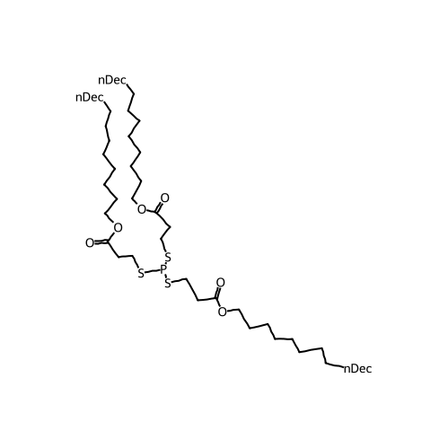 CCCCCCCCCCCCCCCCCCOC(=O)CCSP(SCCC(=O)OCCCCCCCCCCCCCCCCCC)SCCC(=O)OCCCCCCCCCCCCCCCCCC